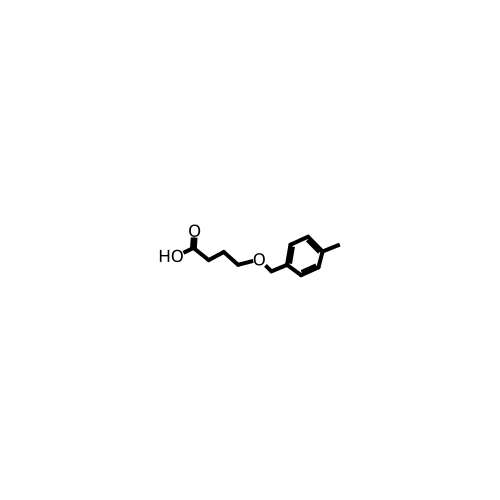 Cc1ccc(COCCCC(=O)O)cc1